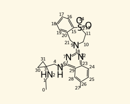 CCNC1(CNc2nc(N3CCS(=O)(=O)c4ccccc4C3)nc3ccc(C)cc23)CC1